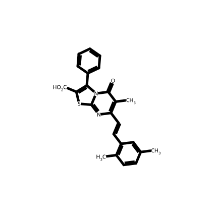 Cc1ccc(C)c(/C=C/c2nc3sc(C(=O)O)c(-c4ccccc4)n3c(=O)c2C)c1